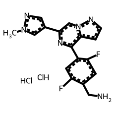 Cl.Cl.Cn1cc(-c2cn3nccc3c(-c3cc(F)c(CN)cc3F)n2)cn1